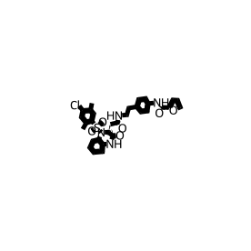 Cc1cc(S(=O)(=O)N2c3ccccc3NC(=O)[C@H]2CC(=O)NCCc2ccc(NC(=O)c3ccco3)cc2)c(C)cc1Cl